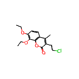 CCOc1ccc2c(C)c(CCCl)c(=O)oc2c1OCC